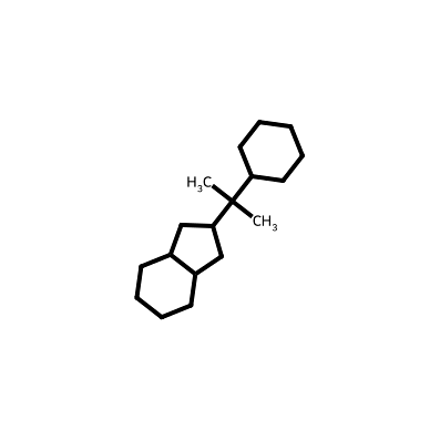 CC(C)(C1CCCCC1)C1CC2CCCCC2C1